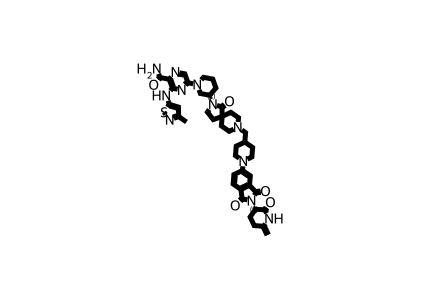 C=C1CC[C@H](N2C(=O)c3ccc(N4CCC(CN5CCC6(CC5)CCN([C@@H]5CCCN(c7cnc(C(N)=O)c(Nc8cc(C)ns8)n7)C5)C6=O)CC4)cc3C2=O)C(=O)N1